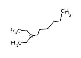 CCCCCC[Si](CC)CC